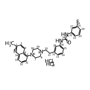 Cc1ccc2c(N3CCN(CCc4cccc(NC(=O)Nc5cccc(F)c5)c4)CC3)cccc2n1.Cl.Cl